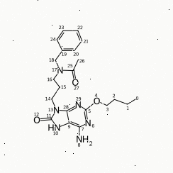 CCCCOc1nc(N)c2[nH]c(=O)n(CCCN(Cc3ccccc3)C(C)=O)c2n1